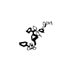 O=C(O)CSc1cccc(NC(=O)C(c2ccc(CN3N=C(c4ccccc4)OCC3=O)cc2)C2CCCC2)c1